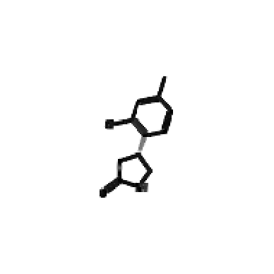 Cc1ccc([C@@H]2CNC(=O)C2)c(Cl)c1